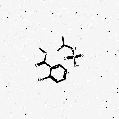 CC(C)NS(=O)(=O)O.COC(=O)c1ccccc1N